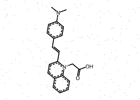 CN(C)c1ccc(/C=C/c2ccc3ccccc3[n+]2CC(=O)O)cc1